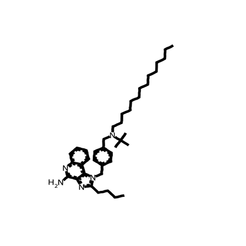 CCCCCCCCCCCCCCN(Cc1ccc(Cn2c(CCCC)nc3c(N)nc4ccccc4c32)cc1)C(C)(C)C